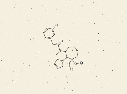 CCOC1(OCC)CCCCC(N(C)C(=O)Cc2cccc(Cl)c2)C1N1CC=CC1